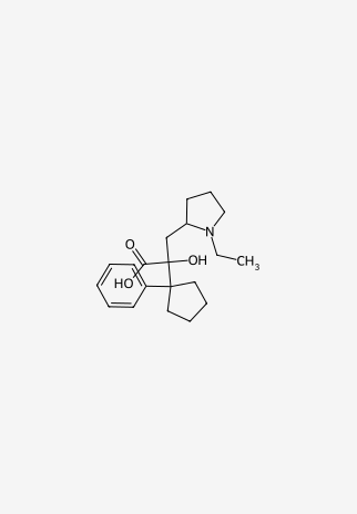 CCN1CCCC1CC(O)(C(=O)O)C1(c2ccccc2)CCCC1